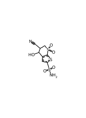 N#CC1CS(=O)(=O)c2sc(S(N)(=O)=O)cc2C1O